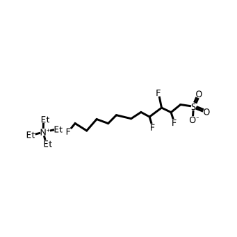 CC[N+](CC)(CC)CC.O=S(=O)([O-])CC(F)C(F)C(F)CCCCCCCF